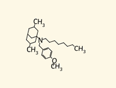 CCCCCCCCN(Cc1ccc(OC)cc1)C12CC(C)CC(CC(C)C1)C2